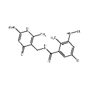 CCNc1cc(Cl)cc(C(=O)NCc2c(C)[nH]c(NC)cc2=O)c1C